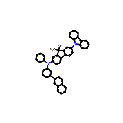 CC1(C)c2cc(N(c3ccccc3)c3cccc(-c4ccc5ccccc5c4)c3)ccc2-c2ccc(-n3c4ccccc4c4ccccc43)cc21